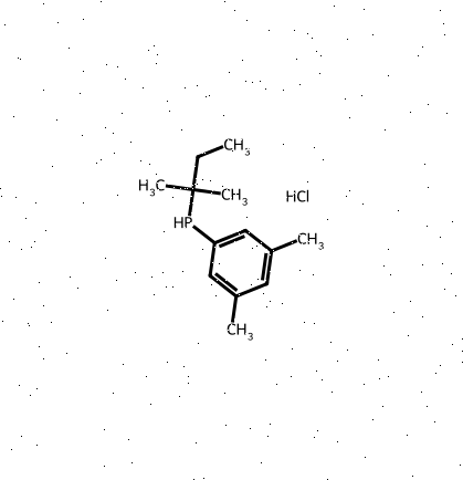 CCC(C)(C)Pc1cc(C)cc(C)c1.Cl